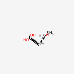 C=C.C=C.C=C.C=C.C=C.C=C.C=C.C=C.CCCC.OCCO.[SiH3]O[SiH3]